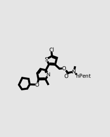 CCCCCN(C)C(=O)OCc1cc(Cl)sc1-c1ccc(OC2CCCCC2)c(C)n1